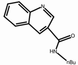 CCCCNC(=O)c1cnc2ccccc2c1